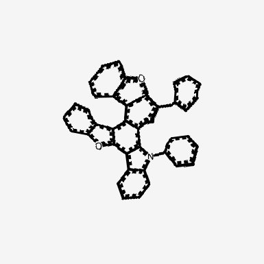 c1ccc(-c2cc3c(c4c2oc2ccccc24)c2c4ccccc4oc2c2c4ccccc4n(-c4ccccc4)c32)cc1